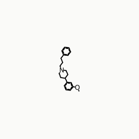 COc1cccc(C2CCN(CCCc3ccccc3)CC2)c1